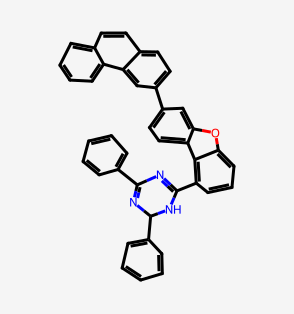 c1ccc(C2=NC(c3ccccc3)NC(c3cccc4oc5cc(-c6ccc7ccc8ccccc8c7c6)ccc5c34)=N2)cc1